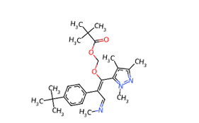 C/N=C\C(=C(\OCOC(=O)C(C)(C)C)c1c(C)c(C)nn1C)c1ccc(C(C)(C)C)cc1